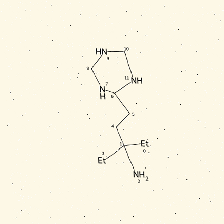 CCC(N)(CC)CCC1NCNCN1